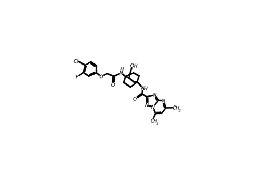 Cc1cc(C)n2nc(C(=O)NC34CCC(NC(=O)COc5ccc(Cl)c(F)c5)(CC3)C(O)C4)nc2n1